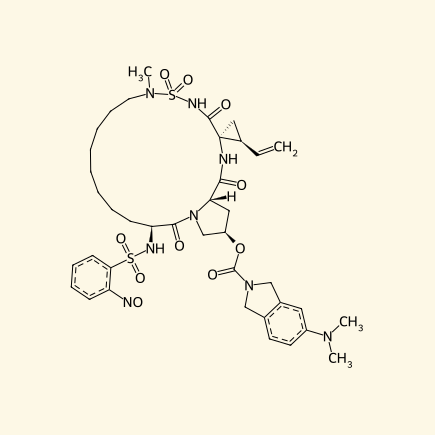 C=C[C@@H]1C[C@@]12NC(=O)[C@@H]1C[C@@H](OC(=O)N3Cc4ccc(N(C)C)cc4C3)CN1C(=O)[C@@H](NS(=O)(=O)c1ccccc1N=O)CCCCCCCCN(C)S(=O)(=O)NC2=O